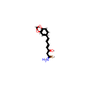 NC(=S)CC(=O)C=CC=Cc1ccc2c(c1)OCO2